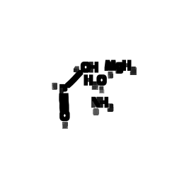 N.O.O=PO.[MgH2]